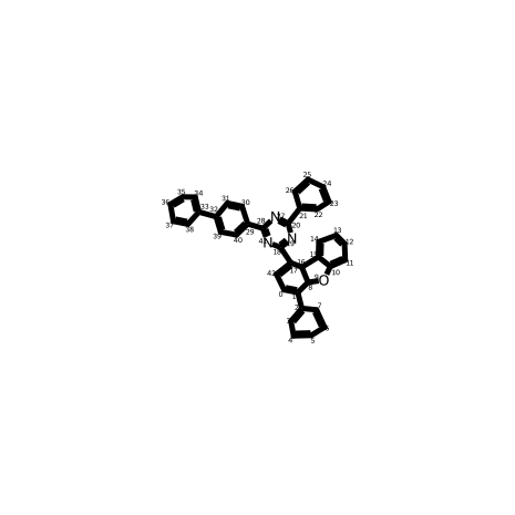 C1=C(c2ccccc2)C2Oc3ccccc3C2C(c2nc(-c3ccccc3)nc(-c3ccc(-c4ccccc4)cc3)n2)=C1